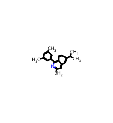 Bc1cc2cc(C(C)C)ccc2c(-c2cc(C)cc(C)c2)n1